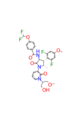 COCC(CO)n1cccc(N2C(=O)[C@@H](NC(=O)c3ccc(OC(F)F)cc3)[C@H](c3c(F)cc(OC)cc3F)[C@@H]2C)c1=O